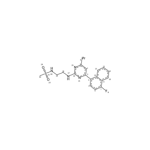 CC(C)c1cc(-c2ccc(F)c3ccccc23)nc(NCCNS(C)(=O)=O)n1